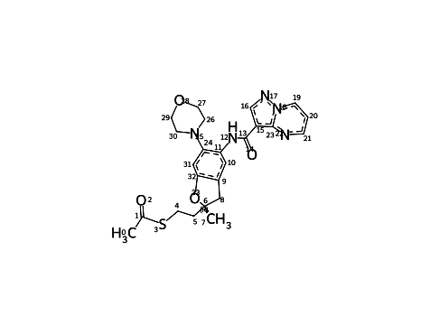 CC(=O)SCC[C@@]1(C)Cc2cc(NC(=O)c3cnn4cccnc34)c(N3CCOCC3)cc2O1